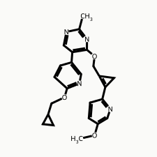 COc1ccc(C2=C(COc3nc(C)ncc3-c3ccc(OCC4CC4)nc3)C2)nc1